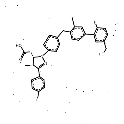 Cc1cc(-c2cc(CO)ccc2F)ccc1Cc1ccc(N2N=C(c3ccc(F)cc3)[C@@H](C)[C@@H]2CC(=O)O)cc1